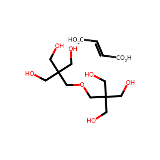 O=C(O)C=CC(=O)O.OCC(CO)(CO)COCC(CO)(CO)CO